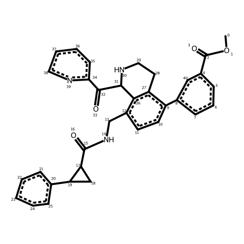 COC(=O)c1cccc(-c2ccc(CNC(=O)C3CC3c3ccccc3)c3c2CCNC3C(=O)c2ccccn2)c1